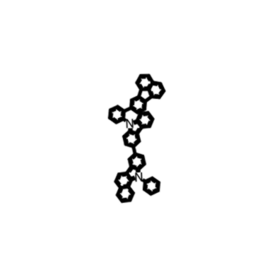 c1ccc(-n2c3ccc(-c4ccc5c(c4)c4ccccc4n5-c4ccccc4-c4ccc5c(c4)-c4cccc6cccc-5c46)cc3c3ccc4ccccc4c32)cc1